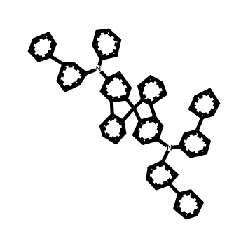 c1ccc(-c2cccc(N(c3ccccc3)c3ccc4c(c3)-c3ccccc3C43c4ccccc4-c4cc(N(c5cccc(-c6ccccc6)c5)c5cccc(-c6ccccc6)c5)ccc43)c2)cc1